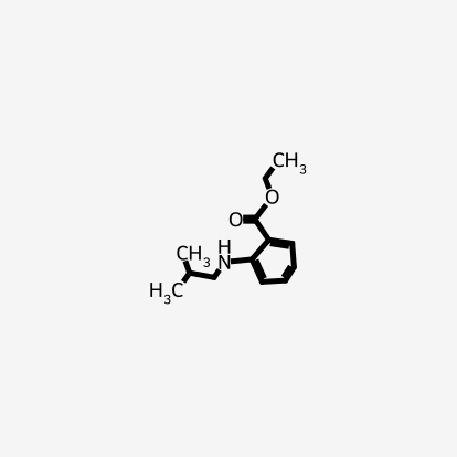 CCOC(=O)c1ccccc1NCC(C)C